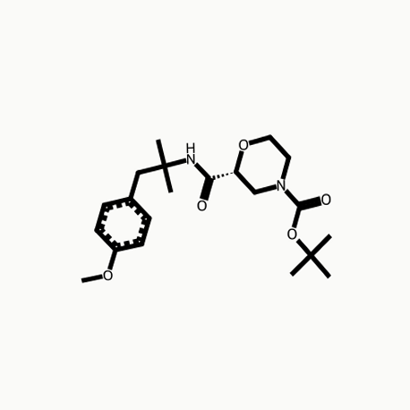 COc1ccc(CC(C)(C)NC(=O)[C@H]2CN(C(=O)OC(C)(C)C)CCO2)cc1